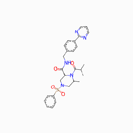 CC(C)C(=O)N1C(C)CN(S(=O)(=O)c2ccccc2)CC1C(=O)NCc1ccc(-c2ncccn2)cc1